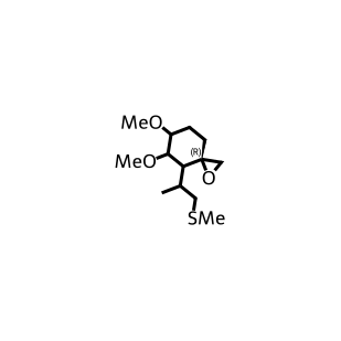 COC1CC[C@]2(CO2)C(C(C)CSC)C1OC